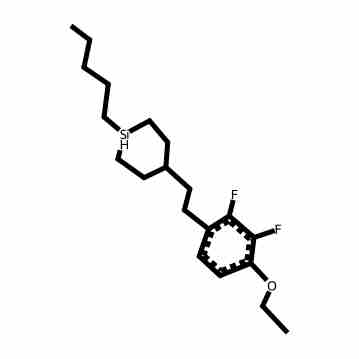 CCCCC[SiH]1CCC(CCc2ccc(OCC)c(F)c2F)CC1